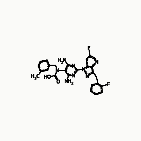 Cc1cccc(CN(C(=O)O)c2c(N)nc(-n3nc(Cc4ccccc4F)c4ncc(F)cc43)nc2N)c1